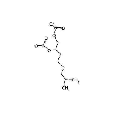 CC(C)CCCCC(CO[N+](=O)[O-])O[N+](=O)[O-]